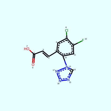 O=C(O)/C=C/c1cc(Cl)c(F)cc1-n1cnnn1